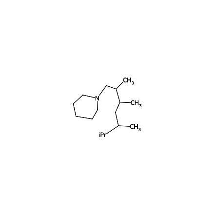 CC(C)C(C)CC(C)C(C)CN1CCCCC1